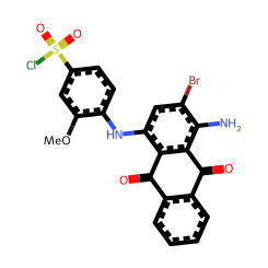 COc1cc(S(=O)(=O)Cl)ccc1Nc1cc(Br)c(N)c2c1C(=O)c1ccccc1C2=O